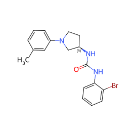 Cc1cccc(N2CC[C@@H](NC(=O)Nc3ccccc3Br)C2)c1